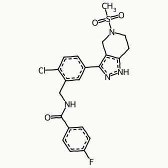 CS(=O)(=O)N1CCc2[nH]nc(-c3ccc(Cl)c(CNC(=O)c4ccc(F)cc4)c3)c2C1